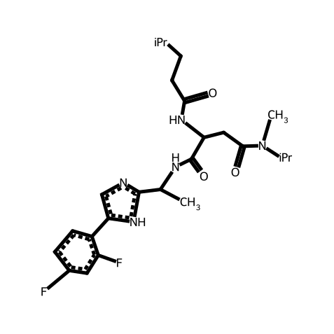 CC(C)CCC(=O)NC(CC(=O)N(C)C(C)C)C(=O)NC(C)c1ncc(-c2ccc(F)cc2F)[nH]1